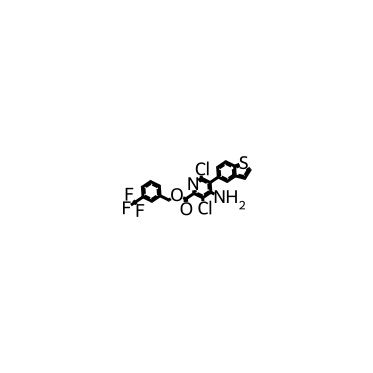 Nc1c(Cl)c(C(=O)OCc2cccc(C(F)(F)F)c2)nc(Cl)c1-c1ccc2sccc2c1